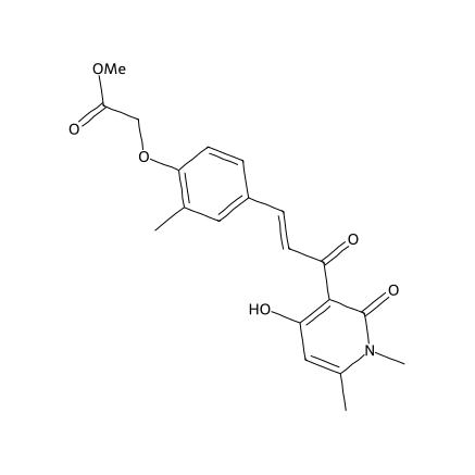 COC(=O)COc1ccc(C=CC(=O)c2c(O)cc(C)n(C)c2=O)cc1C